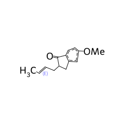 C/C=C/CC1Cc2cc(OC)ccc2C1=O